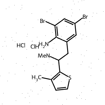 CNC(Cc1cc(Br)cc(Br)c1N)c1sccc1C.Cl.Cl